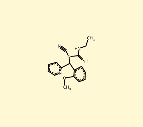 CCNC(=N)N(C#N)C(c1ccccn1)c1ccccc1OC